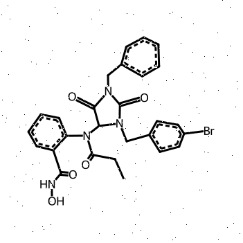 CCC(=O)N(c1ccccc1C(=O)NO)C1C(=O)N(Cc2ccccc2)C(=O)N1Cc1ccc(Br)cc1